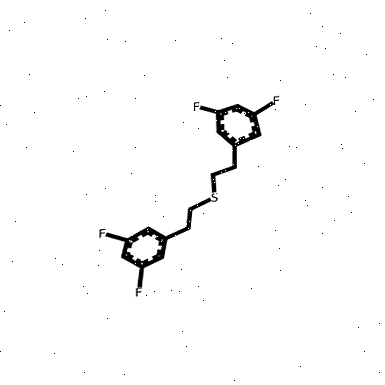 Fc1cc(F)cc(CCSCCc2cc(F)cc(F)c2)c1